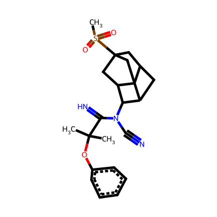 CC(C)(Oc1ccccc1)C(=N)N(C#N)C1C2CC3CC1CC(S(C)(=O)=O)(C3)C2